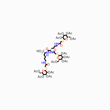 CC(=O)OC[C@H]1O[C@H](SCC(=O)NCCCC[C@H](NC(=O)[C@H](CCCCNC(=O)CS[C@H]2O[C@H](COC(C)=O)[C@@H](OC(C)=O)[C@H](OC(C)=O)[C@@H]2OC(C)=O)NC(=O)CS[C@H]2O[C@H](COC(C)=O)[C@@H](OC(C)=O)[C@H](OC(C)=O)[C@@H]2OC(C)=O)C(=O)O)[C@@H](OC(C)=O)[C@@H](OC(C)=O)[C@@H]1OC(C)=O